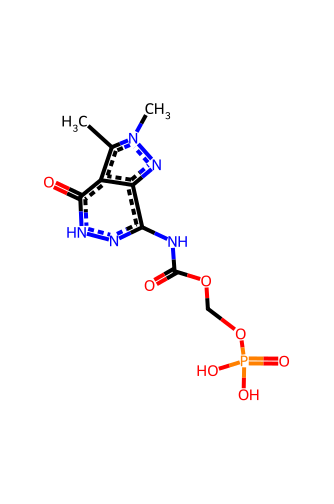 Cc1c2c(=O)[nH]nc(NC(=O)OCOP(=O)(O)O)c2nn1C